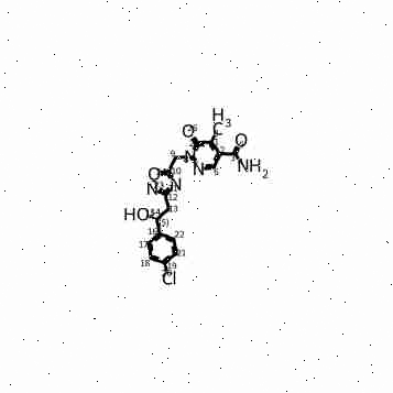 Cc1c(C(N)=O)cnn(Cc2nc(C[C@H](O)c3ccc(Cl)cc3)no2)c1=O